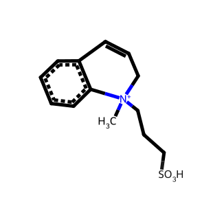 C[N+]1(CCCS(=O)(=O)O)CC=Cc2ccccc21